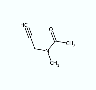 C#CCN(C)C(C)=O